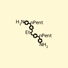 CCCCCC(c1ccc(N)cc1)c1ccc(CC(CC)Cc2ccc(C(CCCCC)c3ccc(N)cc3)cc2)cc1